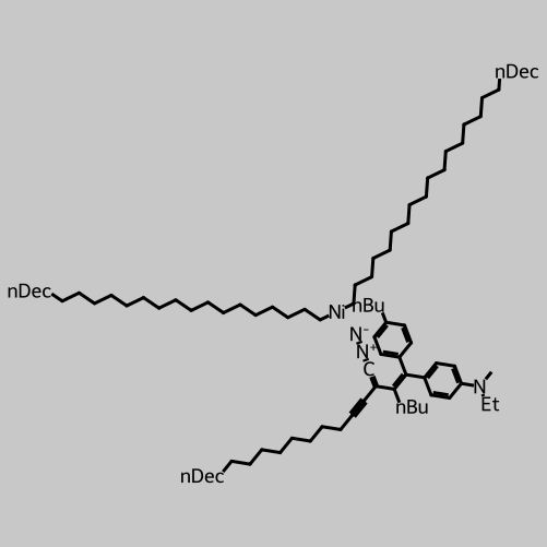 CCCCCCCCCCCCCCCCCCC#CC(=C=[N+]=[N-])C(CCCC)=C(c1ccc(CCCC)cc1)c1ccc(N(C)CC)cc1.CCCCCCCCCCCCCCCCCCCCCCCCCC[CH2][Ni][CH2]CCCCCCCCCCCCCCCCCCCCCCCCCC